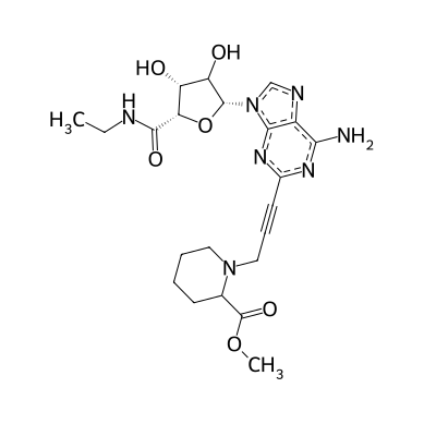 CCNC(=O)[C@H]1O[C@@H](n2cnc3c(N)nc(C#CCN4CCCCC4C(=O)OC)nc32)C(O)[C@H]1O